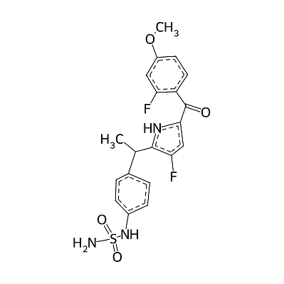 COc1ccc(C(=O)c2cc(F)c(C(C)c3ccc(NS(N)(=O)=O)cc3)[nH]2)c(F)c1